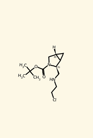 CC(C)(C)OC(=O)N1C[C@@H]2CC2[C@H]1CNCCCl